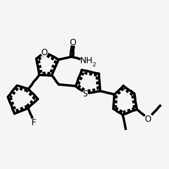 COc1ccc(-c2ccc(Cc3c(-c4cccc(F)c4)coc3C(N)=O)s2)cc1C